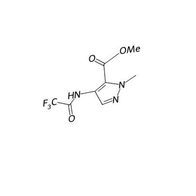 COC(=O)c1c(NC(=O)C(F)(F)F)cnn1C